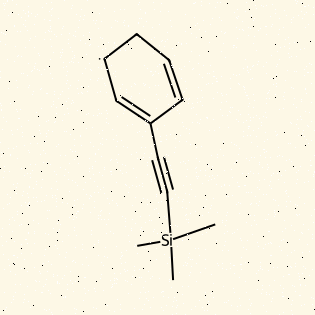 C[Si](C)(C)C#CC1=C[CH]CC=C1